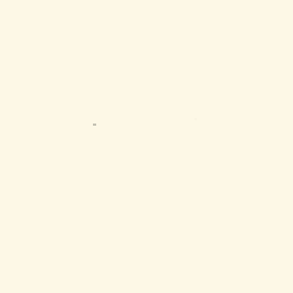 CSC(=O)CC(C)=O